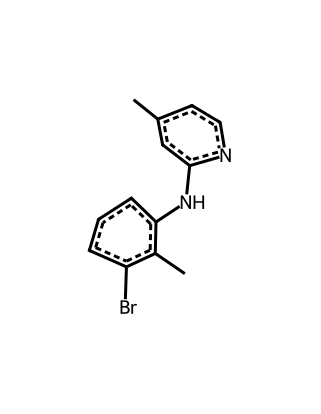 Cc1ccnc(Nc2cccc(Br)c2C)c1